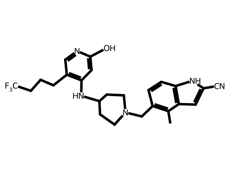 Cc1c(CN2CCC(Nc3cc(O)ncc3CCCC(F)(F)F)CC2)ccc2[nH]c(C#N)cc12